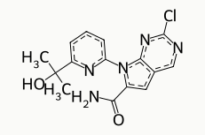 CC(C)(O)c1cccc(-n2c(C(N)=O)cc3cnc(Cl)nc32)n1